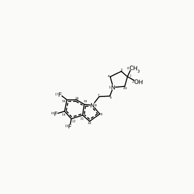 CC1(O)CCN(CCn2ccc3c(F)c(F)c(F)cc32)C1